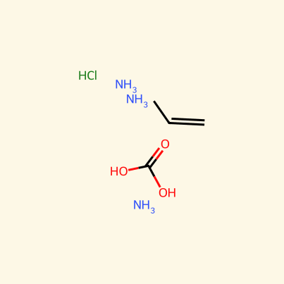 C=CC.Cl.N.N.N.O=C(O)O